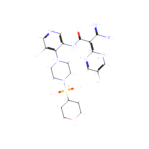 N=C(N)/C(C(=O)Nc1cncc(F)c1N1CCN(S(=O)(=O)C2CCOCC2)CC1)=C1/N=CC(F)=CN1